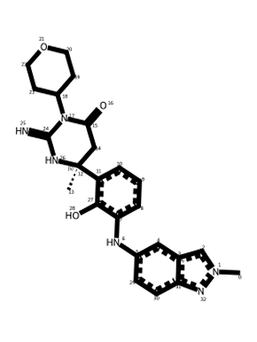 Cn1cc2cc(Nc3cccc([C@]4(C)CC(=O)N(C5CCOCC5)C(=N)N4)c3O)ccc2n1